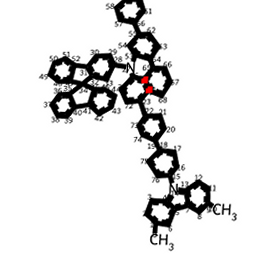 Cc1ccc2c(c1)c1cc(C)ccc1n2-c1ccc(-c2ccc(-c3ccc(N(c4ccc5c(c4)C4(c6ccccc6-c6ccccc64)c4ccccc4-5)c4cc(-c5ccccc5)ccc4-c4ccccc4)cc3)cc2)cc1